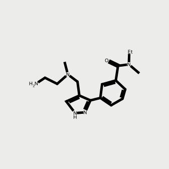 CCN(C)C(=O)c1cccc(-c2n[nH]cc2CN(C)CCN)c1